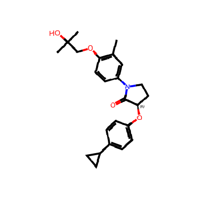 Cc1cc(N2CC[C@@H](Oc3ccc(C4CC4)cc3)C2=O)ccc1OCC(C)(C)O